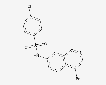 O=S(=O)(Nc1ccc2c(Br)cncc2c1)c1ccc(Cl)cc1